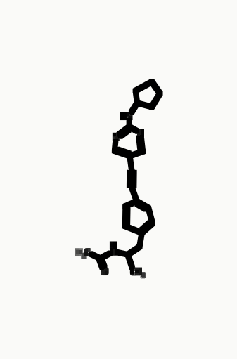 CC(=O)NC(C)Cc1ccc(C#Cc2cnc(NC3CCCC3)nc2)cc1